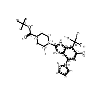 C[C@@H]1CN(C(=O)OC(C)(C)C)CCN1c1nc2c(C(F)(F)F)c(Cl)cc(-n3cccn3)c2o1